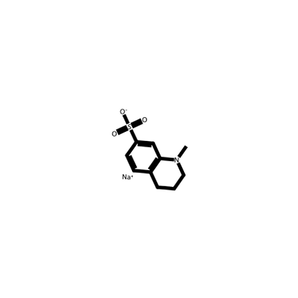 CN1CCCc2ccc(S(=O)(=O)[O-])cc21.[Na+]